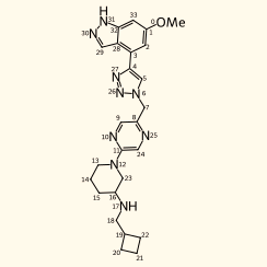 COc1cc(-c2cn(Cc3cnc(N4CCCC(NCC5CCC5)C4)cn3)nn2)c2cn[nH]c2c1